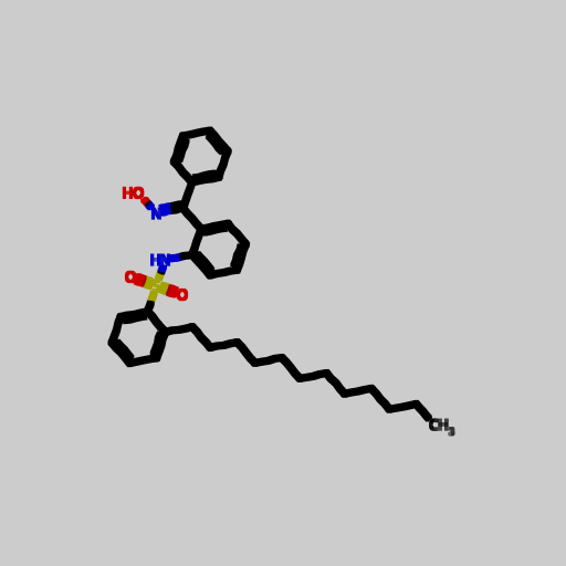 CCCCCCCCCCCCc1ccccc1S(=O)(=O)Nc1ccccc1C(=NO)c1ccccc1